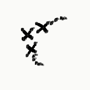 O=S(=O)([O-])[O-].O=S(=O)([O-])[O-].O=S(=O)([O-])[O-].[Al+3].[Cl-].[Cl-].[Cl-].[Fe+3].[Fe+3]